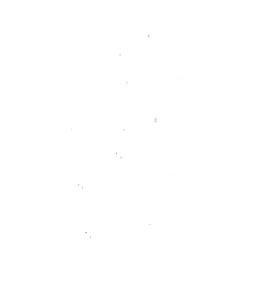 Nc1nc(=O)n([C@@H]2O[C@H](CO)C(O)/C2=C/F)cc1CO